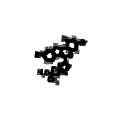 CC(C)(C)Cc1ncc(C2Oc3cc(Br)cc(F)c3C3Cc4cc(Br)ccc4N32)s1